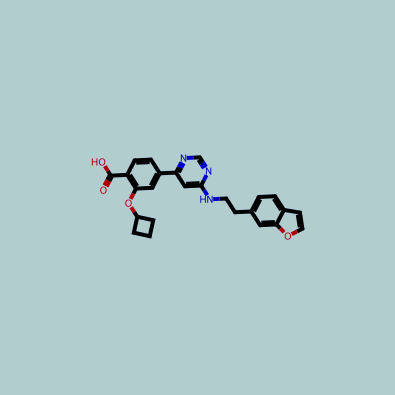 O=C(O)c1ccc(-c2cc(NCCc3ccc4ccoc4c3)ncn2)cc1OC1CCC1